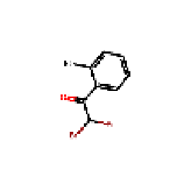 CCc1ccccc1C(=O)C(Br)Br